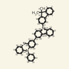 CC1(C)c2ccccc2-c2cc(-n3c4ccccc4c4cc(-c5ccc6c(c5)Sc5ccccc5N6c5ccccc5)ccc43)ccc21